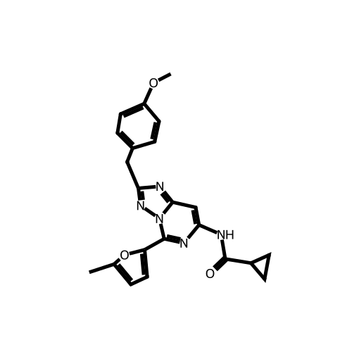 COc1ccc(Cc2nc3cc(NC(=O)C4CC4)nc(-c4ccc(C)o4)n3n2)cc1